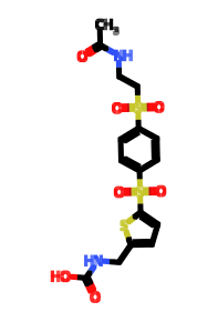 CC(=O)NCCS(=O)(=O)c1ccc(S(=O)(=O)c2ccc(CNC(=O)O)s2)cc1